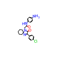 Nc1ccc(NC(=O)CN2C(=O)C(c3ccc(Cl)cc3)=NC23CCCCC3)cc1